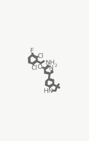 CC(Oc1cc(-c2ccc3c(c2)C(C)(C)CN3)cnc1N)c1c(Cl)ccc(F)c1Cl